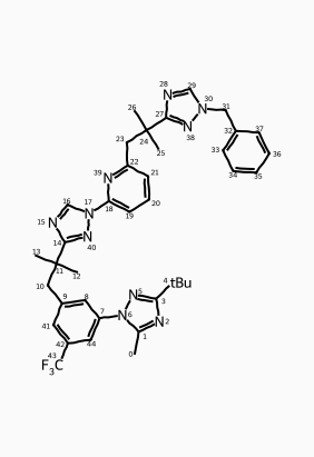 Cc1nc(C(C)(C)C)nn1-c1cc(CC(C)(C)c2ncn(-c3cccc(CC(C)(C)c4ncn(Cc5ccccc5)n4)n3)n2)cc(C(F)(F)F)c1